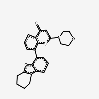 O=c1cc(N2CCOCC2)oc2c(-c3cccc4c5c(oc34)CCCC5)cccc12